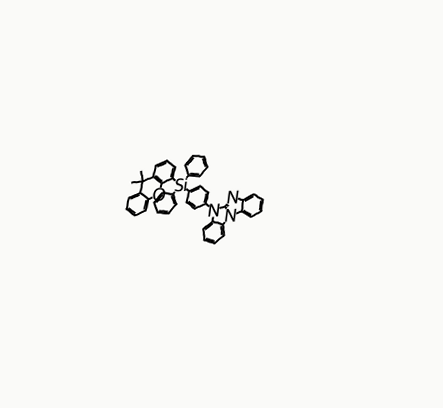 CC1(C)c2ccccc2Oc2c1cccc2[Si](c1ccccc1)(c1ccccc1)c1ccc(-n2c3ccccc3n3c4ccccc4nc23)cc1